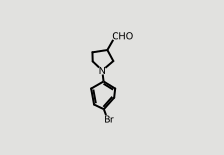 O=CC1CCN(c2ccc(Br)cc2)C1